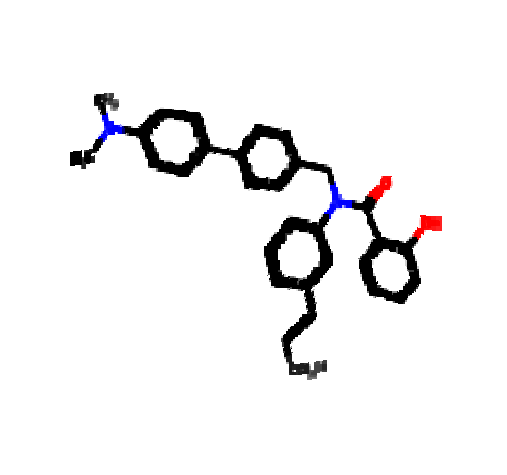 CN(C)c1ccc(-c2ccc(CN(C(=O)c3ccccc3O)c3cccc(C=CC(=O)O)c3)cc2)cc1